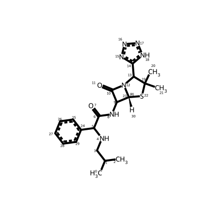 CC(C)CNC(C(=O)NC1C(=O)N2C(c3nnn[nH]3)C(C)(C)S[C@H]12)c1ccccc1